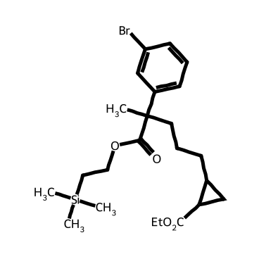 CCOC(=O)C1CC1CCCC(C)(C(=O)OCC[Si](C)(C)C)c1cccc(Br)c1